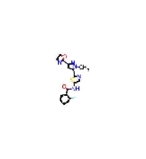 Cn1nc(-c2ncco2)cc1-c1ncc(NC(=O)c2ccccc2F)s1